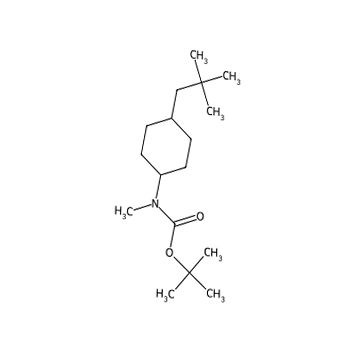 CN(C(=O)OC(C)(C)C)C1CCC(CC(C)(C)C)CC1